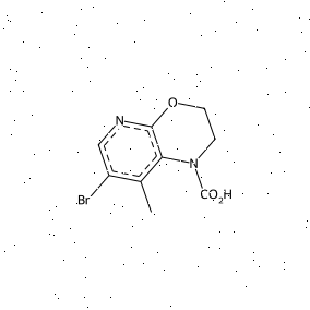 Cc1c(Br)cnc2c1N(C(=O)O)CCO2